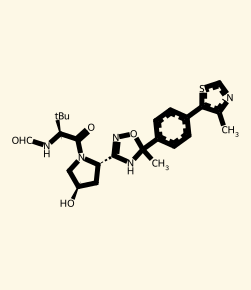 Cc1ncsc1-c1ccc(C2(C)NC([C@@H]3C[C@@H](O)CN3C(=O)[C@@H](NC=O)C(C)(C)C)=NO2)cc1